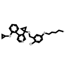 [CH2]CCCCSc1ccc(Cl)c(COC2(c3cnccc3-c3ccccc3OC3CC3)CC2)c1